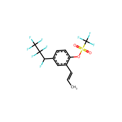 CC=Cc1cc(C(F)C(F)(F)C(F)(F)F)ccc1OS(=O)(=O)C(F)(F)F